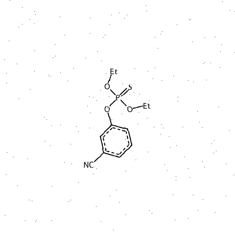 CCOP(=S)(OCC)Oc1cccc(C#N)c1